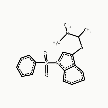 CC(Sc1cn(S(=O)(=O)c2ccccc2)c2ccccc12)N(C)C